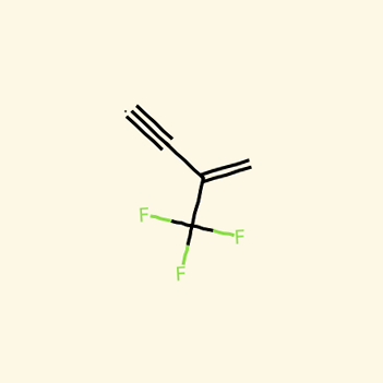 [C]#CC(=C)C(F)(F)F